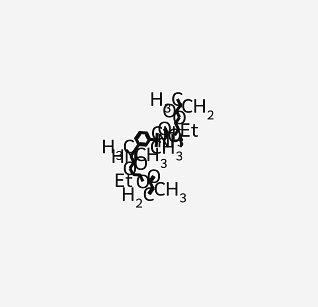 C=C(C)C(=O)OCC(CC)OC(=O)NC(C)(C)c1cccc(C(C)(C)NC(=O)O[C@@H](CC)COC(=O)C(=C)C)c1